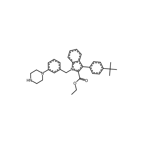 CCOC(=O)c1c(-c2ccc(C(C)(C)C)cc2)c2ccccc2n1Cc1cccc(N2CCNCC2)c1